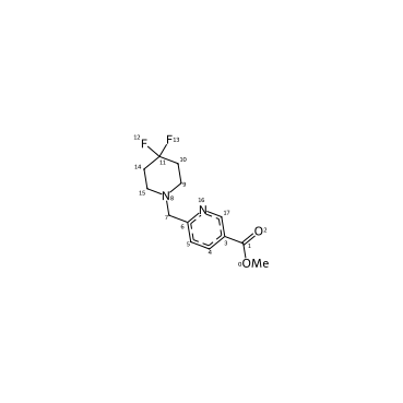 COC(=O)c1ccc(CN2CCC(F)(F)CC2)nc1